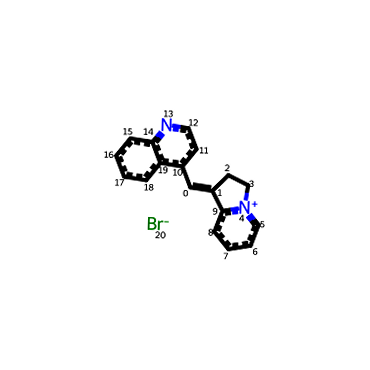 C(=C1CC[n+]2ccccc21)c1ccnc2ccccc12.[Br-]